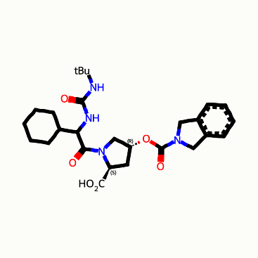 CC(C)(C)NC(=O)NC(C(=O)N1C[C@H](OC(=O)N2Cc3ccccc3C2)C[C@H]1C(=O)O)C1CCCCC1